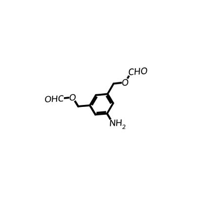 Nc1cc(COC=O)cc(COC=O)c1